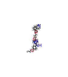 C=CCOc1ccc(Nc2cnc(OCCCCOc3cccc4c3CCN=C4)nc2)cc1